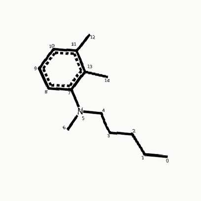 CCCCCN(C)c1cccc(C)c1C